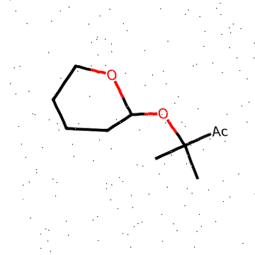 CC(=O)C(C)(C)OC1CCCCO1